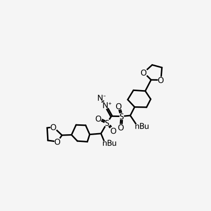 CCCCC(C1CCC(C2OCCO2)CC1)S(=O)(=O)C(=[N+]=[N-])S(=O)(=O)C(CCCC)C1CCC(C2OCCO2)CC1